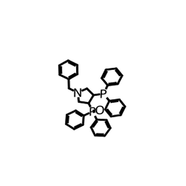 O=P(c1ccccc1)(c1ccccc1)C1CN(Cc2ccccc2)CC1P(c1ccccc1)c1ccccc1